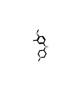 COc1ccc(NC2CCN(C)CC2)cc1I